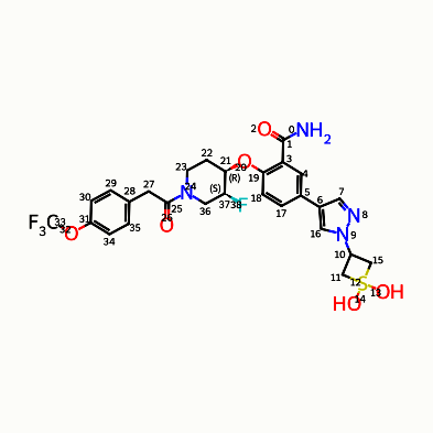 NC(=O)c1cc(-c2cnn(C3CS(O)(O)C3)c2)ccc1O[C@@H]1CCN(C(=O)Cc2ccc(OC(F)(F)F)cc2)C[C@@H]1F